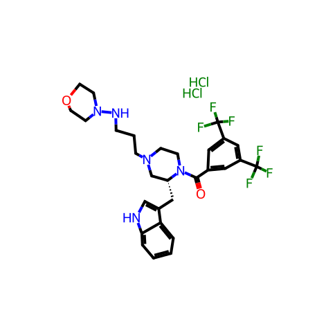 Cl.Cl.O=C(c1cc(C(F)(F)F)cc(C(F)(F)F)c1)N1CCN(CCCNN2CCOCC2)C[C@H]1Cc1c[nH]c2ccccc12